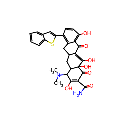 CN(C)C1C(O)=C(C(N)=O)C(=O)C2(O)C(O)=C3C(=O)c4c(O)ccc(-c5cc6ccccc6s5)c4CC3CC12